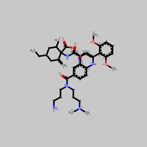 C=C1CC(CC)CC(C)C1(NC(=O)C(=N)/C=C(\Nc1ccc(C(=O)N(CCCN)CCCN(C)C)cc1C(C)C)c1c(OC)cccc1OC)C(=O)O